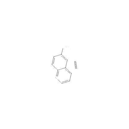 C=C.COc1ccc2ncccc2c1